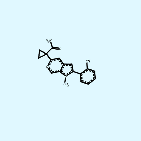 Cn1c(-c2ccccc2C#N)cc2cc(C3(C(N)=O)CC3)ncc21